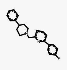 Fc1ccc(-c2cccc(CN3CCC(c4ccccc4)CC3)n2)cc1